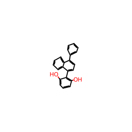 Oc1cccc(O)c1-c1ccc(-c2ccccc2)c2ccccc12